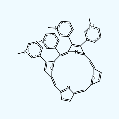 C[n+]1cccc(C2=CC3=CC4=NC(=CC5=NC(=CC6=NC(=C(c7ccc[n+](C)c7)C2=N3)C(c2ccc[n+](C)c2)=C6c2ccc[n+](C)c2)C=C5)C=C4)c1